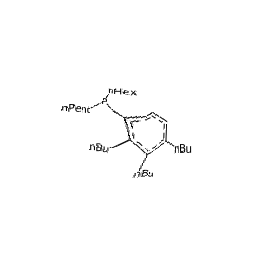 CCCCCCP(CCCCC)c1ccc(CCCC)c(CCCC)c1CCCC